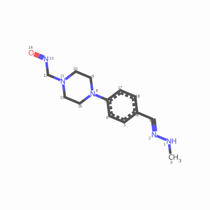 CN/N=C/c1ccc(N2CCN(CN=O)CC2)cc1